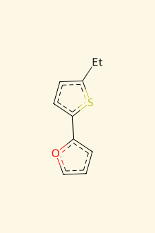 CCc1ccc(-c2ccco2)s1